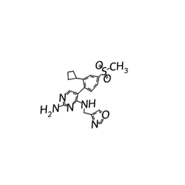 CS(=O)(=O)c1ccc(-c2cnc(N)nc2NCc2cocn2)c(C2CCC2)c1